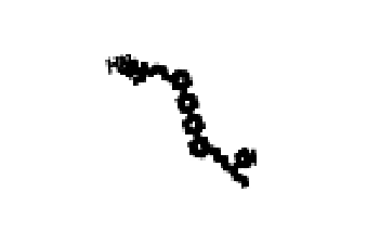 CCCC(CC/C=C/C1=CC(C2=CC[C@H](C3CCC([C@H]4CCC=C(C/C=C\CC(C)(CC)C5CCNC5)C4)CC3)CC2)CCC1)C1CC=NC1